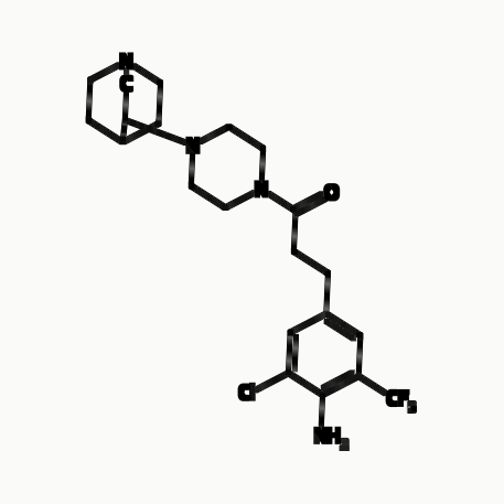 Nc1c(Cl)cc(CCC(=O)N2CCN(C3CN4CCC3CC4)CC2)cc1C(F)(F)F